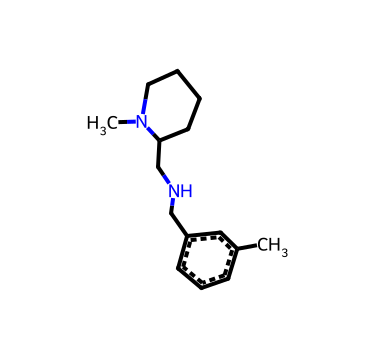 Cc1cccc(CNCC2CCCCN2C)c1